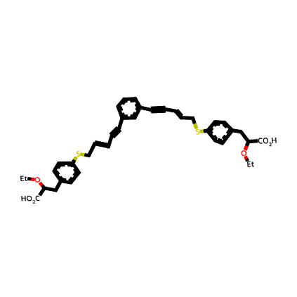 CCOC(Cc1ccc(SC/C=C/C#Cc2cccc(C#C/C=C/CSc3ccc(CC(OCC)C(=O)O)cc3)c2)cc1)C(=O)O